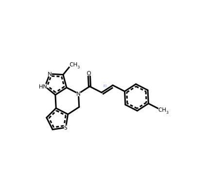 Cc1ccc(/C=C/C(=O)N2Cc3sccc3-c3[nH]nc(C)c32)cc1